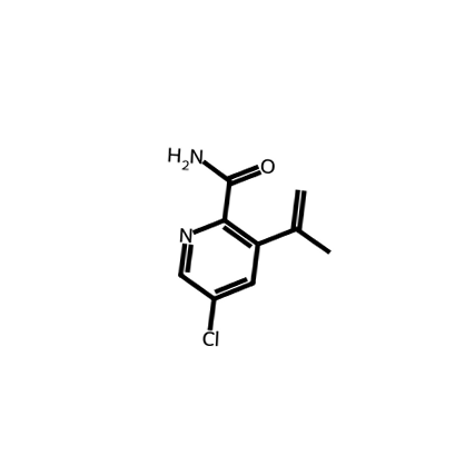 C=C(C)c1cc(Cl)cnc1C(N)=O